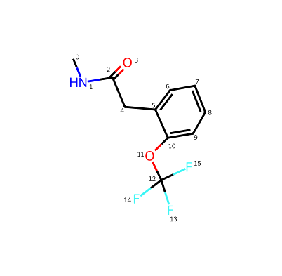 CNC(=O)Cc1ccccc1OC(F)(F)F